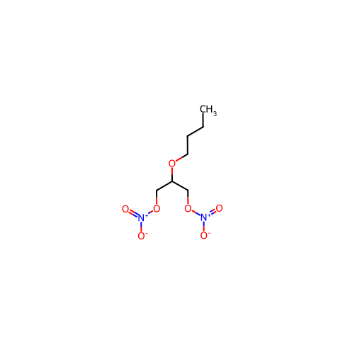 CCCCOC(CO[N+](=O)[O-])CO[N+](=O)[O-]